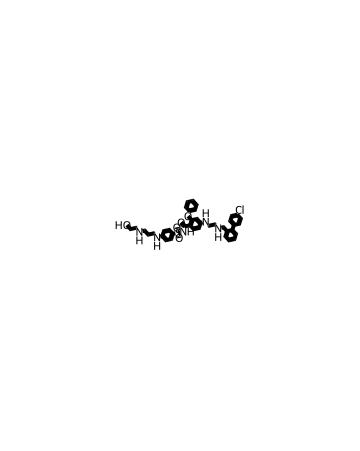 O=C(NS(=O)(=O)c1ccc(NCCCNCCO)cc1)c1ccc(NCCNCc2ccccc2-c2ccc(Cl)cc2)cc1Oc1ccccc1